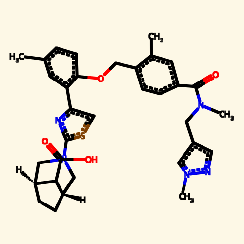 Cc1ccc(OCc2ccc(C(=O)N(C)Cc3cnn(C)c3)cc2C)c(-c2csc(N3C[C@@H]4CC[C@@H](C3)C4C(=O)O)n2)c1